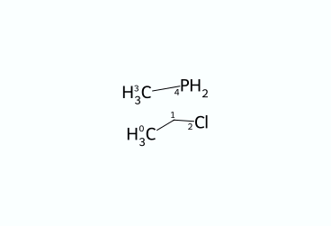 CCCl.CP